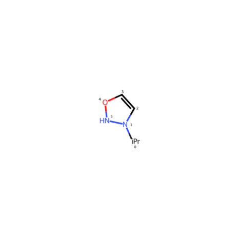 CC(C)N1C=CON1